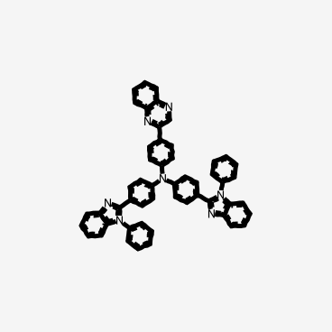 c1ccc(-n2c(-c3ccc(N(c4ccc(-c5cnc6ccccc6n5)cc4)c4ccc(-c5nc6ccccc6n5-c5ccccc5)cc4)cc3)nc3ccccc32)cc1